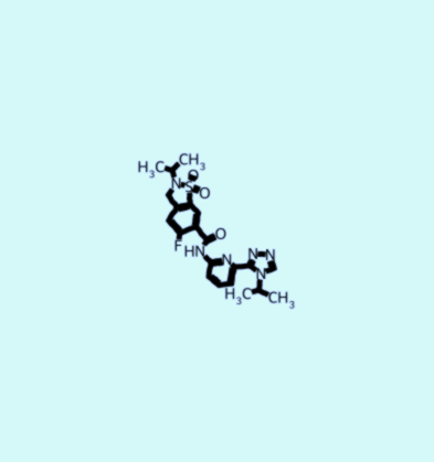 CC(C)N1Cc2cc(F)c(C(=O)Nc3cccc(-c4nncn4C(C)C)n3)cc2S1(=O)=O